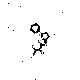 [O-][S+](c1nc2n(n1)[C@H](c1ccccc1)CC2)C(F)F